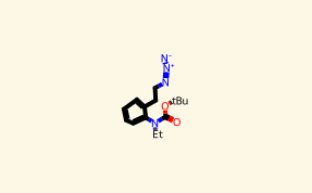 CCN(C(=O)OC(C)(C)C)c1ccccc1CCN=[N+]=[N-]